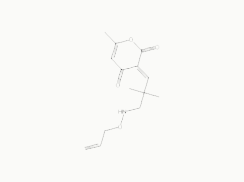 C=CCONCC(C)(C)C=C1C(=O)C=C(C)OC1=O